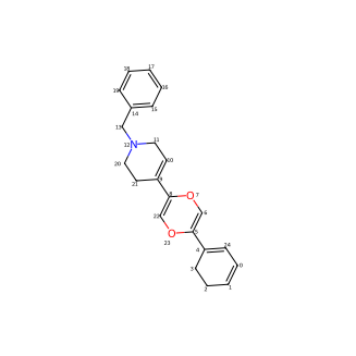 C1=CCCC(C2=COC(C3=CCN(Cc4ccccc4)CC3)=CO2)=C1